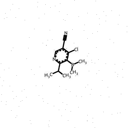 CB(C)c1c(C(C)C)ncc(C#N)c1Cl